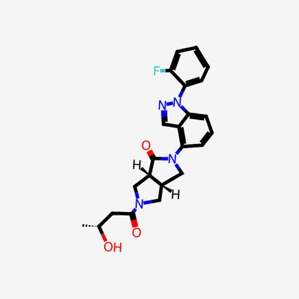 C[C@@H](O)CC(=O)N1C[C@H]2CN(c3cccc4c3cnn4-c3ccccc3F)C(=O)[C@H]2C1